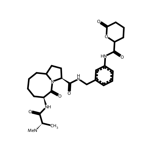 CN[C@@H](C)C(=O)N[C@H]1CCCCC2CC[C@@H](C(=O)NCc3cccc(NC(=O)C4CCCC(=O)O4)c3)N2C1=O